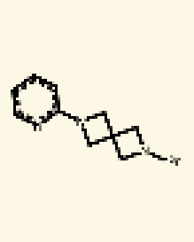 CC(C)N1CC2(CN(c3ccccn3)C2)C1